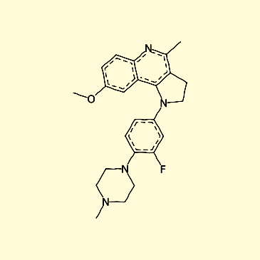 COc1ccc2nc(C)c3c(c2c1)N(c1ccc(N2CCN(C)CC2)c(F)c1)CC3